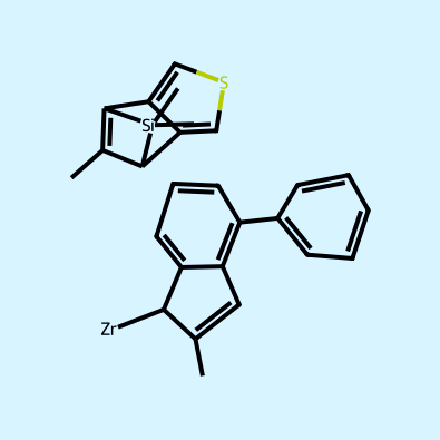 CC1=C2c3cscc3C1[Si]2(C)C.CC1=Cc2c(-c3ccccc3)cccc2[CH]1[Zr]